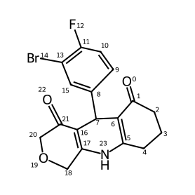 O=C1CCCC2=C1C(c1ccc(F)c(Br)c1)C1=C(COCC1=O)N2